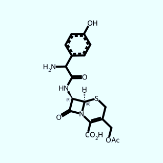 CC(=O)OCC1=C(C(=O)O)N2C(=O)[C@@H](NC(=O)C(N)c3ccc(O)cc3)[C@H]2SC1